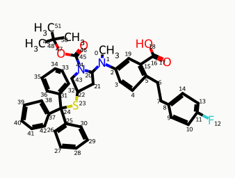 CN(c1ccc(CCc2ccc(F)cc2)c(C(=O)O)c1)C1CC(SC(c2ccccc2)(c2ccccc2)c2ccccc2)CN1C(=O)OC(C)(C)C